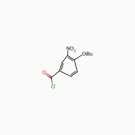 CC(C)COc1ccc(C(=O)Cl)cc1[N+](=O)[O-]